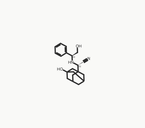 N#C[C@@H](N[C@H](CO)c1ccccc1)C12CC3CC(CC(O)(C3)C1)C2